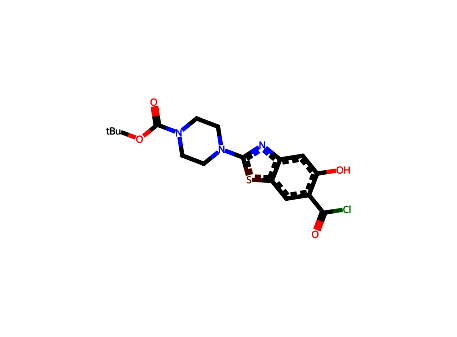 CC(C)(C)OC(=O)N1CCN(c2nc3cc(O)c(C(=O)Cl)cc3s2)CC1